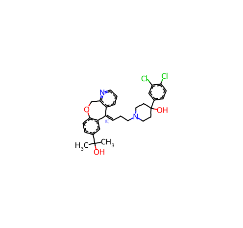 CC(C)(O)c1ccc2c(c1)/C(=C/CCN1CCC(O)(c3ccc(Cl)c(Cl)c3)CC1)c1cccnc1CO2